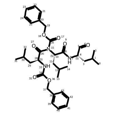 CC(C)C[C@@H]([C]=O)NC(=O)[C@H](CC(C)C)N(C(=O)OCc1ccccc1)C(=O)[C@H](CC(C)C)NC(=O)OCc1ccccc1